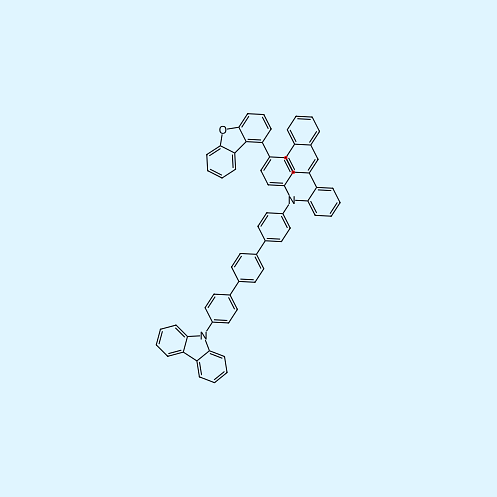 c1ccc(N(c2ccc(-c3ccc(-c4ccc(-n5c6ccccc6c6ccccc65)cc4)cc3)cc2)c2ccc(-c3cccc4oc5ccccc5c34)cc2)c(-c2ccc3ccccc3c2)c1